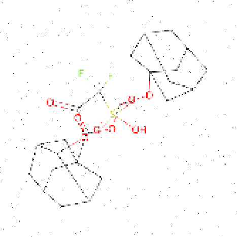 O=C(OCOC12CC3CC(CC(C3)C1)C2)C12CC3CC(C1)C(OC(=O)C(F)(F)S(=O)(=O)O)C(C3)C2